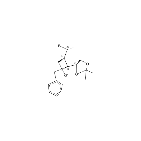 C[C@@H](F)[C@@H]1C[N+]([O-])(Cc2ccccc2)[C@@H]1[C@H]1COC(C)(C)O1